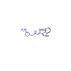 CN/C(=C\NCC1CCN(N)C1)c1c[nH]c2ccccc12